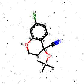 C[Si](C)(C)OC1(C#N)CCOc2cc(Br)ccc21